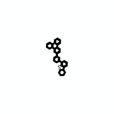 C1=Cc2c(c3cc(C4=CCCC(c5cccc6c5SC5CCCCC65)=C4)ccc3c3ccccc23)CC1